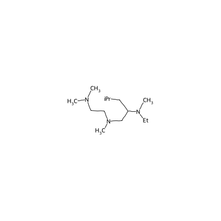 CCN(C)C(CC(C)C)CN(C)CCN(C)C